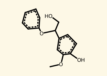 COc1cc(C(CO)Oc2ccccc2)ccc1O